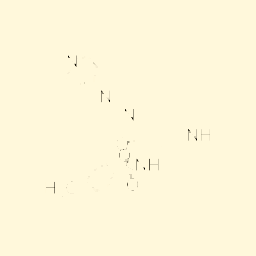 Cc1ccc(S(=O)(=O)NC(C(=O)CN2CCN(c3ccncc3)CC2)C2CCNCC2)cc1